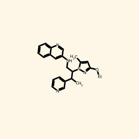 CCOc1cc(C)n(C(CNc2cnc3ccccc3c2)C(C)c2cccnc2)n1